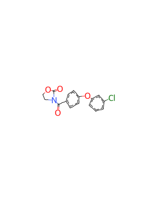 O=C1OCCN1C(=O)c1ccc(Oc2cccc(Cl)c2)cc1